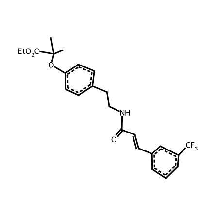 CCOC(=O)C(C)(C)Oc1ccc(CCNC(=O)C=Cc2cccc(C(F)(F)F)c2)cc1